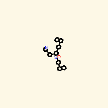 c1cncc(-c2cccc(-c3cc(-c4ccc(-c5cccc6ccccc56)cc4)cc4oc(-c5ccc(-c6cccc7ccccc67)cc5)nc34)c2)c1